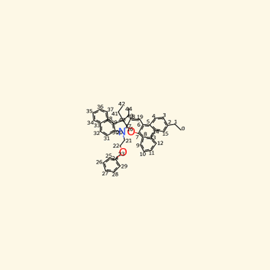 CCc1ccc2c3c(c4ccccc4c2c1)OC1(C=C3)N(CCOc2ccccc2)c2ccc3ccccc3c2C1(CC)CC